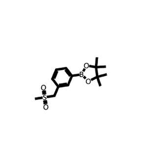 CC1(C)OB(c2cccc(CS(C)(=O)=O)c2)OC1(C)C